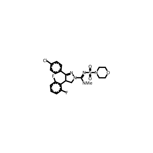 CN/C(=N\S(=O)(=O)N1CCOCC1)N1CC(c2c(F)cccc2F)C(c2ccc(Cl)cc2)=N1